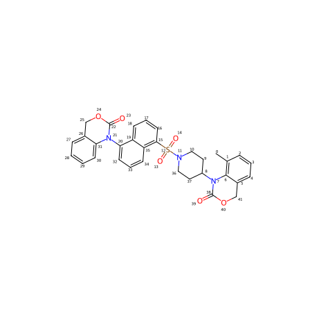 Cc1cccc2c1N(C1CCN(S(=O)(=O)c3cccc4c(N5C(=O)OCc6ccccc65)cccc34)CC1)C(=O)OC2